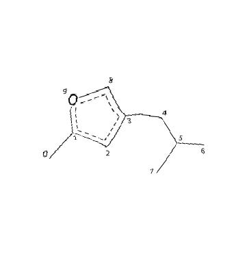 Cc1cc(CC(C)C)co1